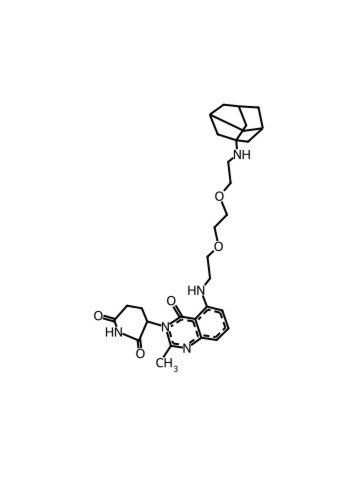 Cc1nc2cccc(NCCOCCOCCNC34CC5CC(CC(C5)C3)C4)c2c(=O)n1C1CCC(=O)NC1=O